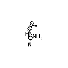 N#Cc1ccc(NC[C@@H]2CCN(C(=O)C3CC3)C2)c(N)c1